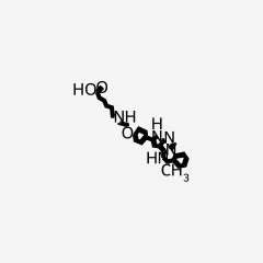 CC(Nc1ncnc2[nH]c(-c3ccc(OCCNCCCCCC(=O)O)cc3)cc12)c1ccccc1